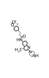 Cc1cc(N2CCNCC2)nc2ccc(NC(=O)CCc3ccc(OC(F)(F)F)cc3)cc12